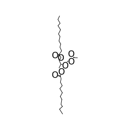 CCCCCCCCCCCC(=O)OCC(COC(=O)CCCCCCCCCCC)OCOC(C)=O